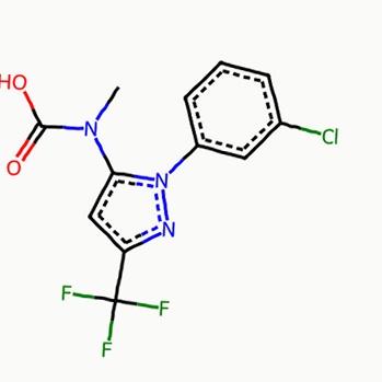 CN(C(=O)O)c1cc(C(F)(F)F)nn1-c1cccc(Cl)c1